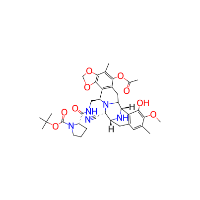 COc1c(C)cc2c(c1O)[C@@H]1N[C@H](C2)[C@H](C#N)N2C1Cc1c(OC(C)=O)c(C)c3c(c1[C@@H]2CNC(=O)[C@@H]1CCCN1C(=O)OC(C)(C)C)OCO3